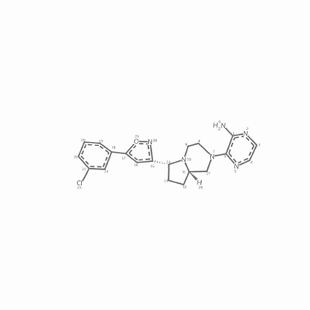 Nc1nccnc1N1CCN2[C@@H](CC[C@@H]2c2cc(-c3cccc(Cl)c3)on2)C1